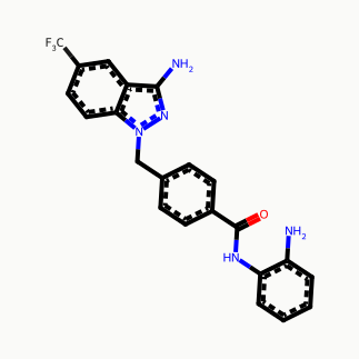 Nc1ccccc1NC(=O)c1ccc(Cn2nc(N)c3cc(C(F)(F)F)ccc32)cc1